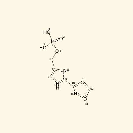 O=P(O)(O)OCc1c[nH]c(-c2ccon2)n1